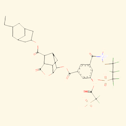 CCC1CC2CC(C1)CC(OC(=O)C1C3CC4C(OC(=O)C41)C3OC(=O)c1cc(OC(=O)C(F)(F)S(=O)(=O)O)cc(C(=O)[NH+]([O-])SC(F)(F)C(F)(F)C(F)(F)S(=O)(=O)O)c1)C2